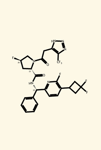 O=C(N[C@@H](c1ccccc1)c1ccc(C2CC(F)(F)C2)c(F)n1)[C@@H]1C[C@@H](F)CN1C(=O)Cc1[nH]nnc1C(F)(F)F